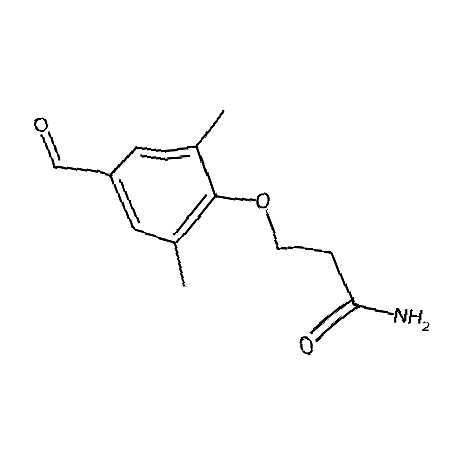 Cc1cc(C=O)cc(C)c1OCCC(N)=O